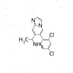 CC(N)c1cc2nccn2cc1-c1ccc(Cl)cc1Cl